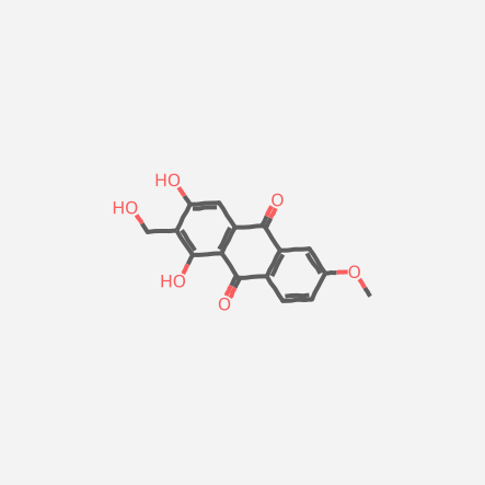 COc1ccc2c(c1)C(=O)c1cc(O)c(CO)c(O)c1C2=O